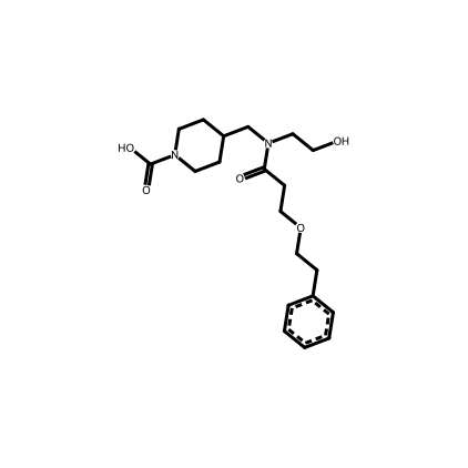 O=C(O)N1CCC(CN(CCO)C(=O)CCOCCc2ccccc2)CC1